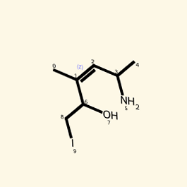 C/C(=C/C(C)N)C(O)CI